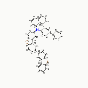 c1ccc(-c2ccc(N(c3ccc4sc5ccc(-c6ccc7sc8ccccc8c7c6)cc5c4c3)c3cccc4ccccc34)cc2)cc1